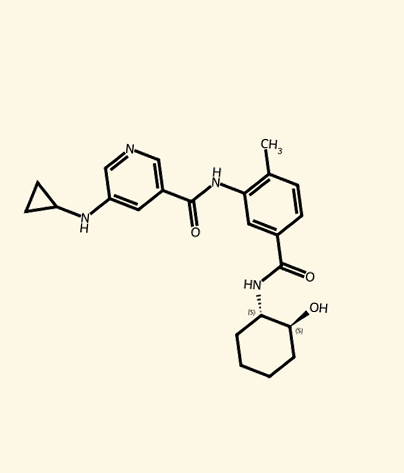 Cc1ccc(C(=O)N[C@H]2CCCC[C@@H]2O)cc1NC(=O)c1cncc(NC2CC2)c1